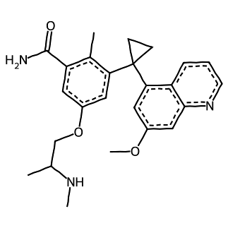 CNC(C)COc1cc(C(N)=O)c(C)c(C2(c3cc(OC)cc4ncccc34)CC2)c1